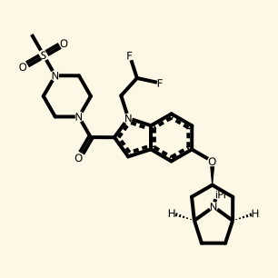 CC(C)N1[C@@H]2CC[C@H]1C[C@@H](Oc1ccc3c(c1)cc(C(=O)N1CCN(S(C)(=O)=O)CC1)n3CC(F)F)C2